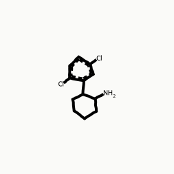 NC1CCCCC1c1cc(Cl)ccc1Cl